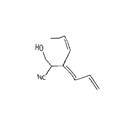 C=C/C=C(\C=C/C)C(O)C#N